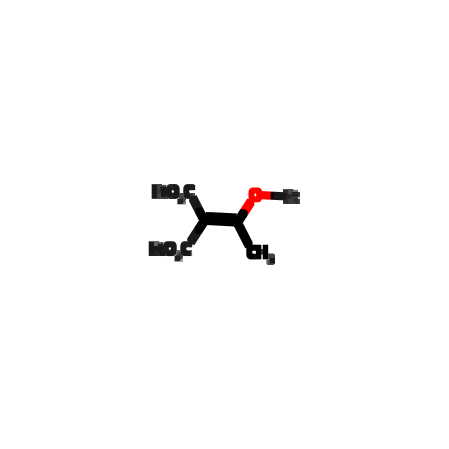 CCOC(=O)C(C(=O)OCC)=C(C)OCC